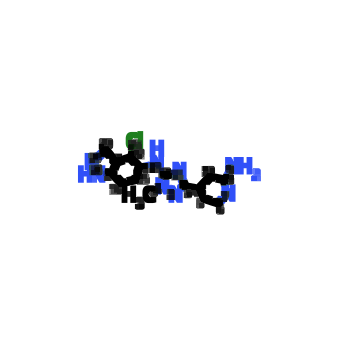 Cn1nc(-c2ccnc(N)c2)nc1Nc1ccc2[nH]ncc2c1Cl